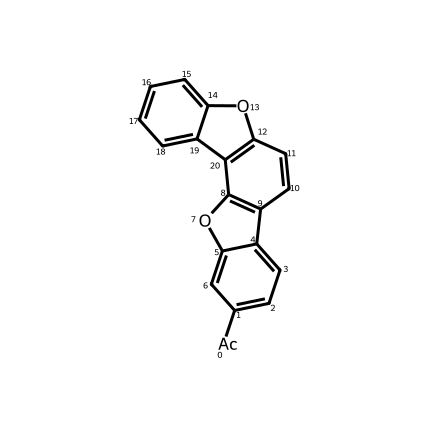 CC(=O)c1ccc2c(c1)oc1c2ccc2oc3ccccc3c21